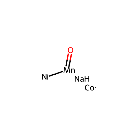 [Co].[NaH].[O]=[Mn][Ni]